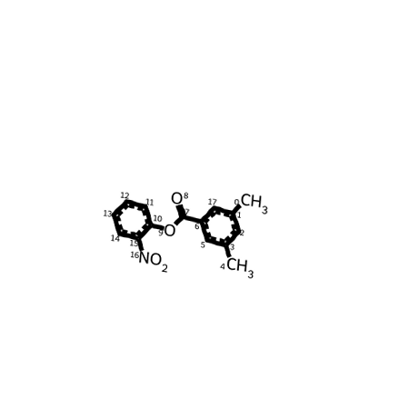 Cc1cc(C)cc(C(=O)Oc2ccccc2[N+](=O)[O-])c1